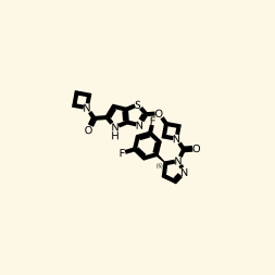 O=C(c1cc2sc(OC3CN(C(=O)N4N=CC[C@H]4c4cc(F)cc(F)c4)C3)nc2[nH]1)N1CCC1